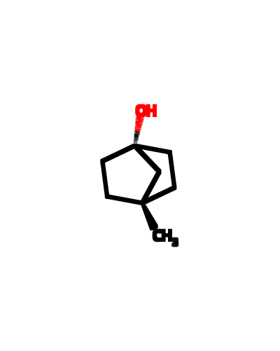 C[C@]12CC[C@@](O)(CC1)C2